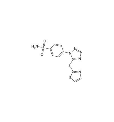 NS(=O)(=O)c1ccc(-n2nnnc2Sc2nccs2)cc1